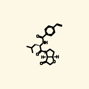 C=Cc1ccc(C(=O)N[C@@H](CC(C)C)C(=O)N2CC[C@H]3OCC(=O)[C@H]32)cc1